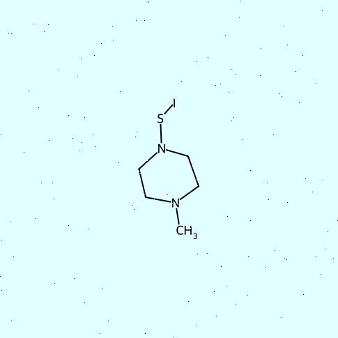 CN1CCN(SI)CC1